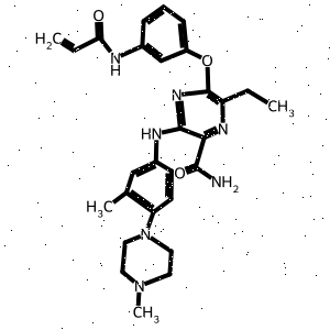 C=CC(=O)Nc1cccc(Oc2nc(Nc3ccc(N4CCN(C)CC4)c(C)c3)c(C(N)=O)nc2CC)c1